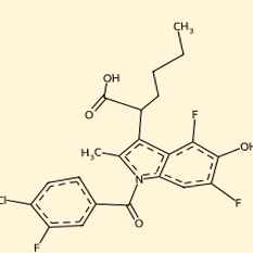 CCCCC(C(=O)O)c1c(C)n(C(=O)c2ccc(Cl)c(F)c2)c2cc(F)c(O)c(F)c12